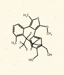 COc1sc(C)c(-c2cccc(C)c2C(F)(C(O)(F)F)C(F)(F)F)c1-c1ccc(CO)c(CO)c1